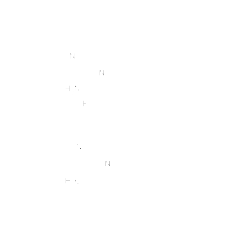 Cc1ncc(-c2ccc(-c3ccccc3-c3ccnc(N)n3)cc2F)cn1